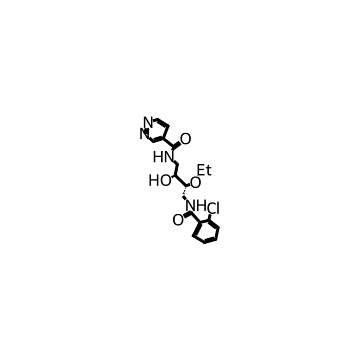 CCO[C@H](CNC(=O)c1ccccc1Cl)[C@@H](O)CNC(=O)c1ccnnc1